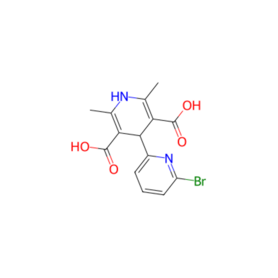 CC1=C(C(=O)O)C(c2cccc(Br)n2)C(C(=O)O)=C(C)N1